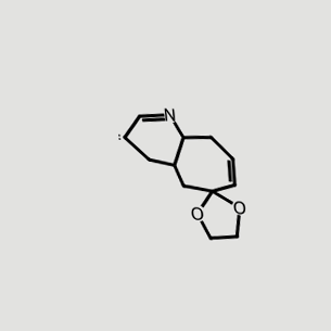 [C]1C=NC2CC=CC3(CC2C1)OCCO3